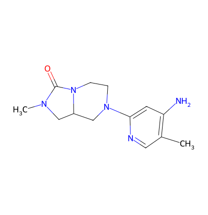 Cc1cnc(N2CCN3C(=O)N(C)CC3C2)cc1N